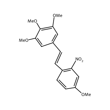 COc1ccc(C=Cc2cc(OC)c(OC)c(OC)c2)c([N+](=O)[O-])c1